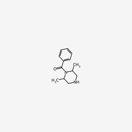 CC1CNCC(C)N1C(=O)c1ccccc1